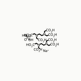 O=C(O)CN(CCN(CC(=O)O)CC(=O)O)CC(=O)O.O=C(O)CN(CCN(CC(=O)O)CC(=O)O)CC(=O)O.O=P([O-])(O)O.[Na+]